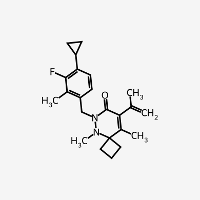 C=C(C)C1=C(C)C2(CCC2)N(C)N(Cc2ccc(C3CC3)c(F)c2C)C1=O